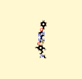 CCN(C)CCc1cc(C)c(Oc2nc(-c3cnc(OCc4ccccc4)cn3)ns2)cc1C